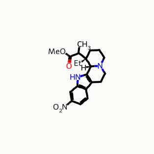 CC[C@@]1(C(C)C(=O)OC)CCCN2CCc3c([nH]c4cc([N+](=O)[O-])ccc34)[C@@H]21